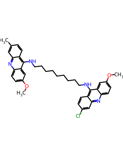 COc1ccc2nc3cc(C)ccc3c(NCCCCCCCCCNc3c4ccc(Cl)cc4nc4ccc(OC)cc34)c2c1